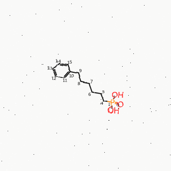 O=P(O)(O)CCCCCCc1ccccc1